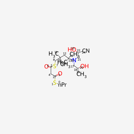 CCCSC(=O)CC(=O)SCC(C)(C)CC(C)(C)N(CC(C)O)CC(O)C#N